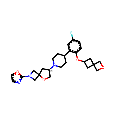 Fc1ccc(OC2CC3(COC3)C2)c(C2CCN([C@H]3COC4(C3)CN(c3ncco3)C4)CC2)c1